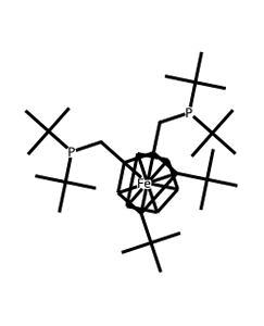 CC(C)(C)P(C[C]12[CH]3[C]4(C(C)(C)C)[C]5(C(C)(C)C)[C]1(CP(C(C)(C)C)C(C)(C)C)[Fe]32451678[CH]2[CH]1[CH]6[CH]7[CH]28)C(C)(C)C